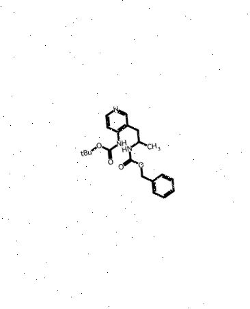 CC(Cc1cnccc1NC(=O)OC(C)(C)C)NC(=O)OCc1ccccc1